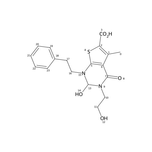 Cc1c(C(=O)O)sc2c1C(=O)N(CCO)C(O)N2CCc1ccccc1